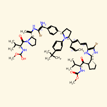 C=C(N/C(Br)=C(\N)c1ccc([C@@H]2CC[C@@H](C(/C=C\C)=C/C=C/C3=C(Br)N[C@H]([C@@H]4CCCC4C(=O)[C@@H](NC(=O)OC)C(C)C)N3)N2c2ccc(C(C)(C)C)cc2)cc1)[C@@H]1CCCN1C(=O)[C@@H](NC(O)OC)C(C)C